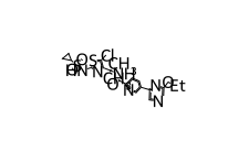 CCOc1cncc(-c2ccc(C(=O)NC(C)(C)c3nc(NS(=O)(=O)C4CC4)sc3Cl)nc2)n1